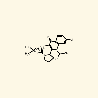 Cc1c(C2CCCN2C(=O)OC(C)(C)C)n(C(C)C)c2cc(Cl)ccc2c1=O